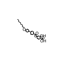 CCCCCCCCOc1ccc(-c2ccc(C(=O)Oc3ccc(C(=O)O)c(O)c3)cc2)cc1